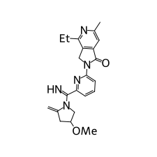 C=C1CC(OC)CN1C(=N)c1cccc(N2Cc3c(cc(C)nc3CC)C2=O)n1